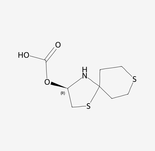 O=C(O)O[C@@H]1CSC2(CCSCC2)N1